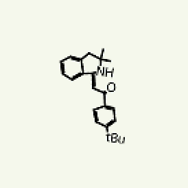 CC1(C)Cc2ccccc2/C(=C/C(=O)c2ccc(C(C)(C)C)cc2)N1